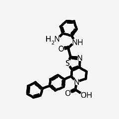 Nc1ccccc1NC(=O)c1nc2c(s1)C(c1ccc(-c3ccccc3)cc1)N(C(=O)O)CC2